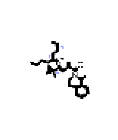 C=C(/C=C(\N(C)/C(=C\C=C/C)CCCC)C1(C)CC1)C(=O)N1CCc2ccccc2C1C